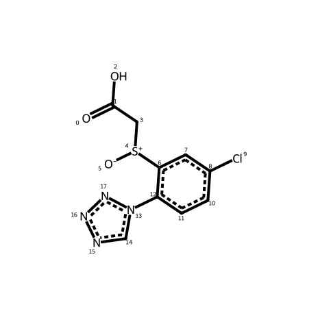 O=C(O)C[S+]([O-])c1cc(Cl)ccc1-n1cnnn1